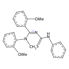 COc1ccccc1/C(=N/C(=S)Nc1ccccc1)N(C)c1ccccc1OC